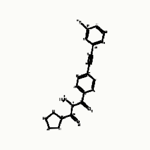 NN(C(=O)c1ccc(C#Cc2cccc(F)c2)cc1)C(=O)C1CCCC1